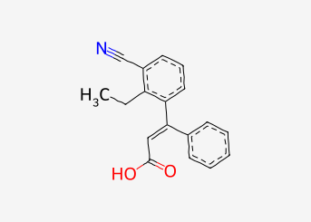 CCc1c(C#N)cccc1/C(=C/C(=O)O)c1ccccc1